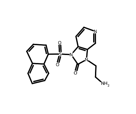 NCCn1c(=O)n(S(=O)(=O)c2cccc3ccccc23)c2ccncc21